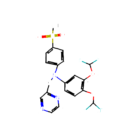 CS(=O)(=O)c1ccc(N(Cc2cnccn2)c2ccc(OC(F)F)c(OC(F)F)c2)cc1